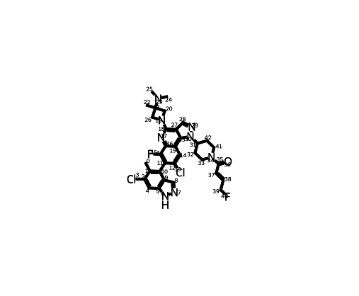 Cc1c(Cl)cc2[nH]ncc2c1-c1c(Cl)cc2c(nc(N3CC(C)(N(C)C)C3)c3cnn(C4CCN(C(=O)/C=C/CF)CC4)c32)c1F